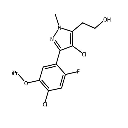 CC(C)Oc1cc(-c2nn(C)c(CCO)c2Cl)c(F)cc1Cl